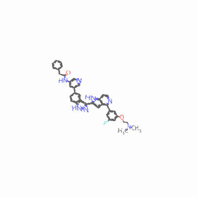 CN(C)CCOc1cc(F)cc(-c2nccc3[nH]c(-c4n[nH]c5ccc(-c6cncc(NC(=O)Cc7ccccc7)c6)cc45)cc23)c1